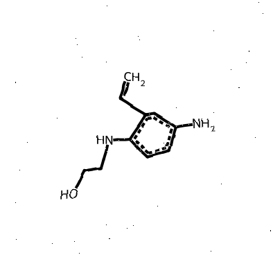 C=Cc1cc(N)ccc1NCCO